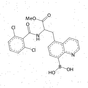 COC(=O)C(Cc1ccc(B(O)O)c2ncccc12)NC(=O)c1c(Cl)cccc1Cl